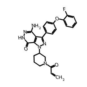 C=CC(=O)N1CCCC(n2nc(-c3ccc(Oc4ccccc4F)cc3)c3c(N)n[nH]c(=O)c32)C1